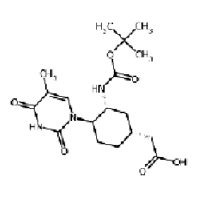 Cc1cn([C@@H]2CC[C@@H](CC(=O)O)C[C@H]2NC(=O)OC(C)(C)C)c(=O)[nH]c1=O